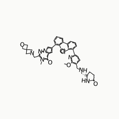 COc1nc(-c2cccc(-c3cccc(-c4cc5c(=O)n(C)c(CN6CC7(COC7)C6)nn5c4)c3Cl)c2Cl)ccc1CNC[C@@H]1CCC(=O)N1